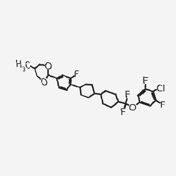 CC1COC(c2ccc(C3CCC(C4CCC(C(F)(F)Oc5cc(F)c(Cl)c(F)c5)CC4)CC3)c(F)c2)OC1